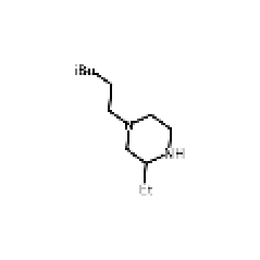 CCC(C)CCN1CCNC(CC)C1